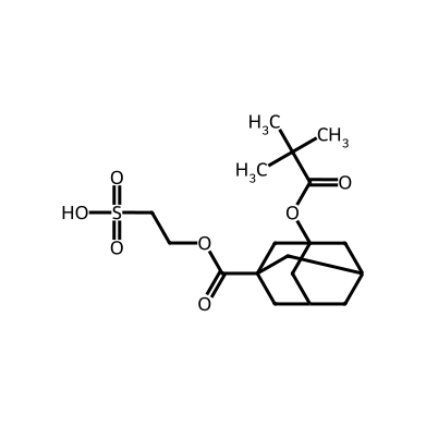 CC(C)(C)C(=O)OC12CC3CC(C1)CC(C(=O)OCCS(=O)(=O)O)(C3)C2